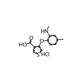 CNc1cc(C)ccc1Oc1cscc1C(=O)O.Cl